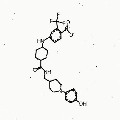 O=C(NCC1CCN(c2ccc(O)cc2)CC1)C1CCC(Nc2ccc([N+](=O)[O-])c(C(F)(F)F)c2)CC1